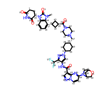 Cn1c(=O)n([C@H]2CCC(=O)NC2=O)c2cccc([C@H]3C[C@H](C(=O)N4CCN(C[C@H]5CC[C@H](n6cc(NC(=O)c7cnn8ccc(N9CC%10CC9CO%10)nc78)c(C(F)F)n6)CC5)CC4)C3)c21